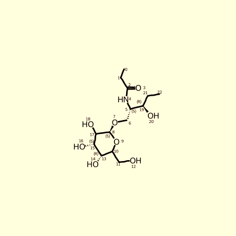 CCC(=O)N[C@@H](CO[C@H]1OC(CO)[C@H](O)[C@H](O)C1O)[C@H](O)CC